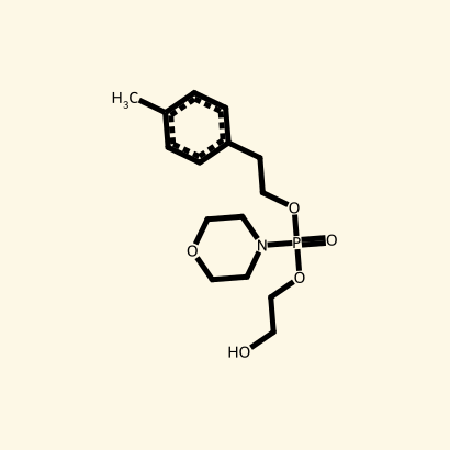 Cc1ccc(CCOP(=O)(OCCO)N2CCOCC2)cc1